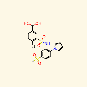 CCc1ccc(C(O)O)cc1S(=O)(=O)Nc1cc(S(C)(=O)=O)ccc1-n1cccc1